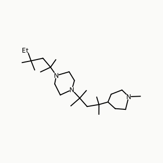 CCC(C)(C)CC(C)(C)N1CCN(C(C)(C)CC(C)(C)C2CCN(C)CC2)CC1